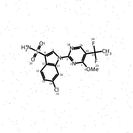 COc1nc(-n2cc(S(N)(=O)=O)c3ccc(Cl)cc32)ncc1C(C)(F)F